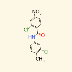 Cc1ccc(NC(=O)c2ccc([N+](=O)[O-])cc2Cl)cc1Cl